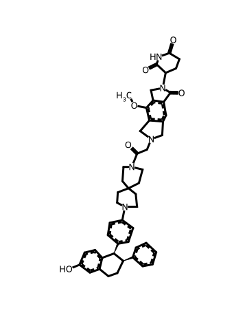 COc1c2c(cc3c1CN(C1CCC(=O)NC1=O)C3=O)CN(CC(=O)N1CCC3(CC1)CCN(c1ccc([C@@H]4c5ccc(O)cc5CC[C@@H]4c4ccccc4)cc1)CC3)C2